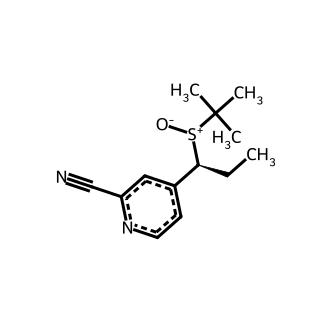 CC[C@@H](c1ccnc(C#N)c1)[S+]([O-])C(C)(C)C